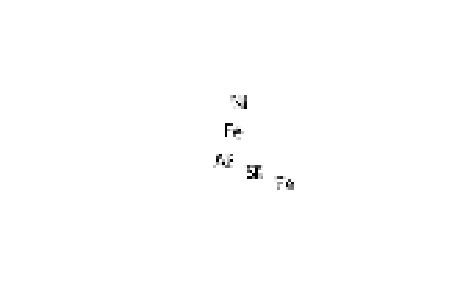 [Al].[Fe].[Fe].[Ni].[Si]